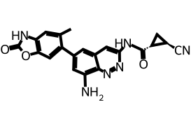 Cc1cc2[nH]c(=O)oc2cc1-c1cc(N)c2nnc(NC(=O)[C@@H]3C[C@H]3C#N)cc2c1